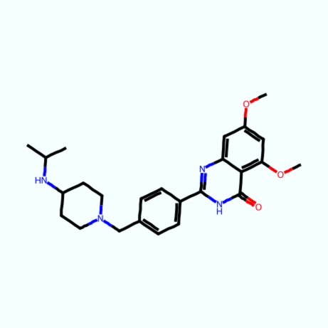 COc1cc(OC)c2c(=O)[nH]c(-c3ccc(CN4CCC(NC(C)C)CC4)cc3)nc2c1